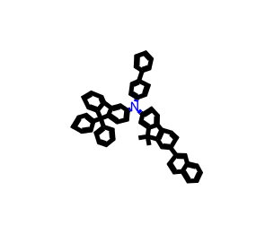 CC1(C)c2cc(-c3ccc4ccccc4c3)ccc2-c2ccc(N(c3ccc(-c4ccccc4)cc3)c3ccc4c(c3)-c3ccccc3C4(c3ccccc3)c3ccccc3)cc21